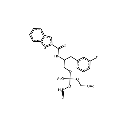 CC(=O)OCOC(OCC(Cc1cccc(F)c1)NC(=O)c1cc2ccccc2s1)(O[PH2]=O)OC(C)=O